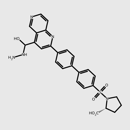 NNC(O)c1cc(-c2ccc(-c3ccc(S(=O)(=O)N4CCC[C@@H]4C(=O)O)cc3)cc2)nc2ccncc12